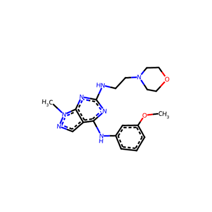 COc1cccc(Nc2nc(NCCN3CCOCC3)nc3c2cnn3C)c1